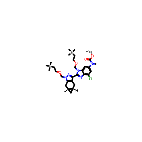 CN(C(=O)OC(C)(C)C)c1cc(Cl)c2nc(-c3nn(COCC[Si](C)(C)C)c4c3C[C@@H]3C[C@]3(C)C4)n(COCC[Si](C)(C)C)c2c1